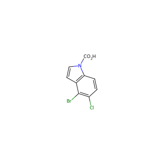 O=C(O)n1ccc2c(Br)c(Cl)ccc21